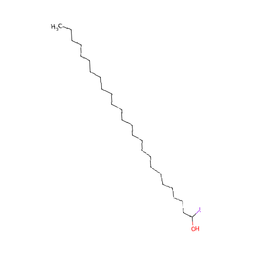 CCCCCCCCCCCCCCCCCCCCCCCCCC(O)I